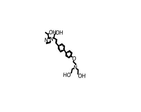 CC(O)c1nccn1C(/C=C/c1ccc(-c2ccc(OCCN(CCO)CCO)cc2)cc1)CO